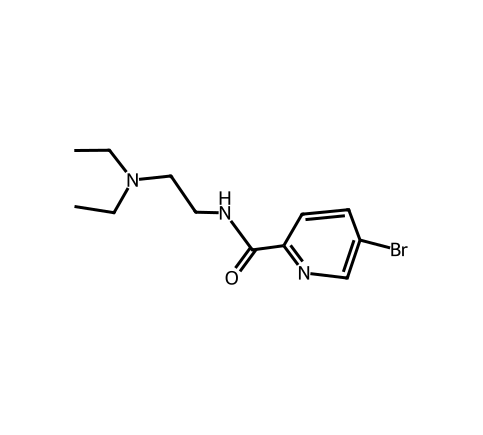 CCN(CC)CCNC(=O)c1ccc(Br)cn1